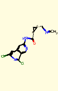 C=NC[C@H]1C[C@@H]1C(=O)Nc1cc2cc(Cl)nc(Cl)c2cn1